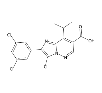 CC(C)c1c(C(=O)O)cnn2c(Cl)c(-c3cc(Cl)cc(Cl)c3)nc12